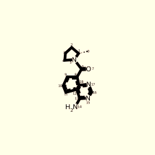 C[C@H]1CCCN1C(=O)c1cccc2c(N)ncnc12